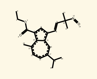 CCOC(=O)c1cc(C=CC(C)(C)N=O)c2cc(C(C)C)ccc(C)c1-2